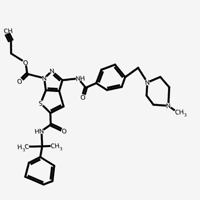 C#CCOC(=O)n1nc(NC(=O)c2ccc(CN3CCN(C)CC3)cc2)c2cc(C(=O)NC(C)(C)c3ccccc3)sc21